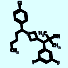 CCCCC(c1ccc(Cl)cc1)N1CC(C(c2cc(F)cc(F)c2)C(C)(C)O)C1